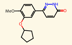 COc1ccc(-c2ccc(=O)[nH]n2)cc1OC1CCCC1